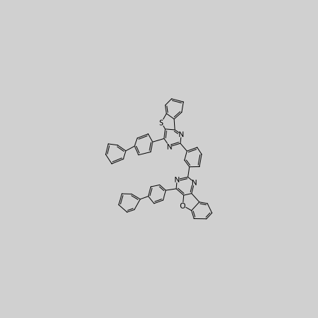 c1ccc(-c2ccc(-c3nc(-c4cccc(-c5nc(-c6ccc(-c7ccccc7)cc6)c6sc7ccccc7c6n5)c4)nc4c3oc3ccccc34)cc2)cc1